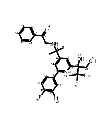 CC(C)(NCC(=O)c1ccccc1)c1cc(-c2ccc(F)c(Cl)c2)nc(C(O)(CO)C(F)(F)F)c1